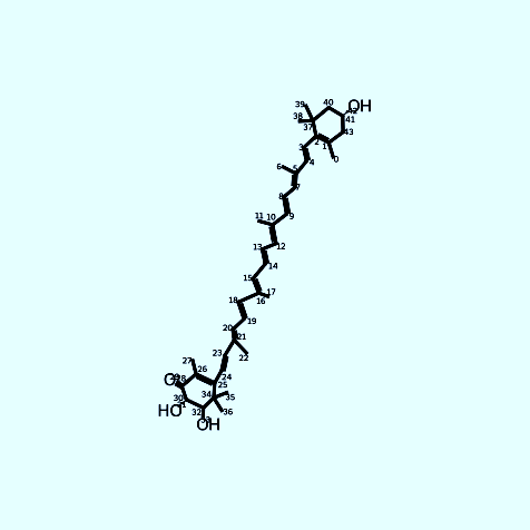 CC1=C(/C=C/C(C)=C/C=C/C(C)=C/C=C/C=C(C)/C=C/C=C(C)/C=C/C2=C(C)C(=O)[C@@H](O)C(O)C2(C)C)C(C)(C)C[C@H](O)C1